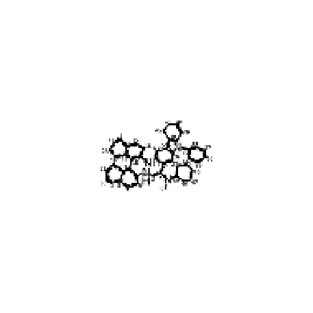 CN(/C(=C/Nc1ccc2ccccc2c1-c1c(N)ccc2ccccc12)C1=Cc2c(c3c(n2-c2ccccc2)C=CCC3)CC1)C1CC=CCC1